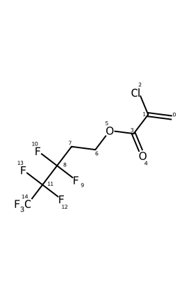 C=C(Cl)C(=O)OCCC(F)(F)C(F)(F)C(F)(F)F